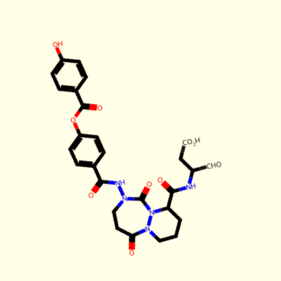 O=CC(CC(=O)O)NC(=O)C1CCCN2C(=O)CCN(NC(=O)c3ccc(OC(=O)c4ccc(O)cc4)cc3)C(=O)N12